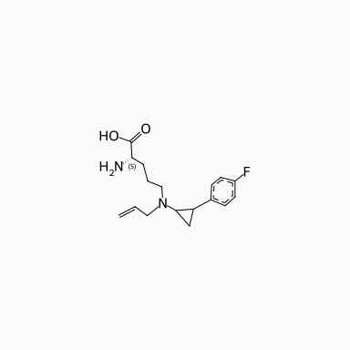 C=CCN(CCC[C@H](N)C(=O)O)C1CC1c1ccc(F)cc1